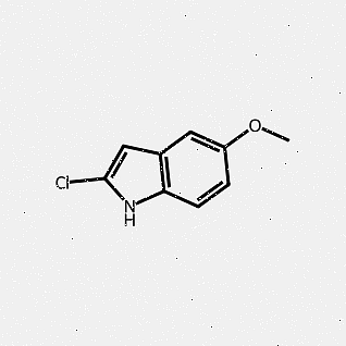 COc1ccc2[nH]c(Cl)cc2c1